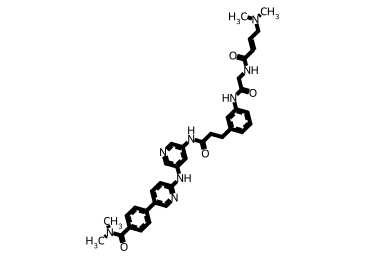 CN(C)C/C=C/C(=O)NCC(=O)Nc1cccc(CCC(=O)Nc2cncc(Nc3ccc(-c4ccc(C(=O)N(C)C)cc4)cn3)c2)c1